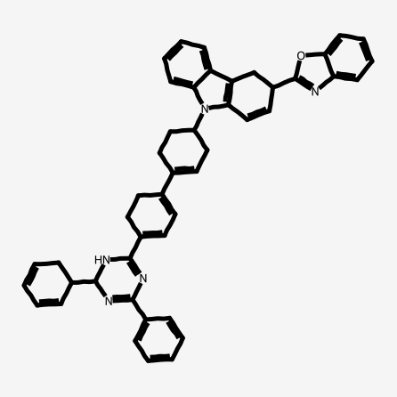 C1=CCC(C2N=C(c3ccccc3)N=C(C3=CC=C(C4=CCC(n5c6c(c7ccccc75)CC(c5nc7ccccc7o5)C=C6)CC4)CC3)N2)C=C1